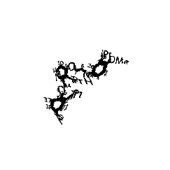 COc1ccc(NCCOc2ccnc(COc3ccc(F)cc3C(C)C)c2C(C)C)cc1C(C)C